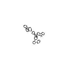 CC1(C)c2ccccc2-c2ccc(N(c3ccc(-c4ccc5c(c4)oc4ccccc45)cc3)c3ccc(-c4ccccc4-c4ccccc4)cc3)cc21